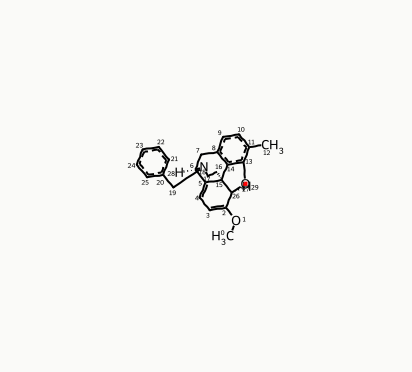 COC1=CC=C2[C@H]3Cc4ccc(C)c5c4[C@@]2(CCN3Cc2ccccc2)[C@H]1O5